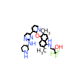 Cc1ccc2c(Oc3ncccc3-c3ccnc(N[C@H]4CCCNC4)n3)c(C)ccc2c1NC[C@H](O)C(F)(F)F